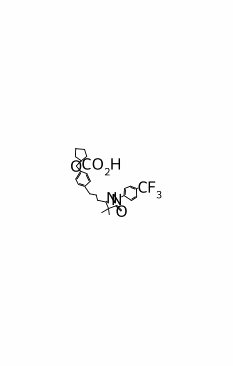 CC1(C)C(=O)N(c2ccc(C(F)(F)F)cc2)N=C1CCCc1ccc(OC2(C(=O)O)CCCC2)cc1